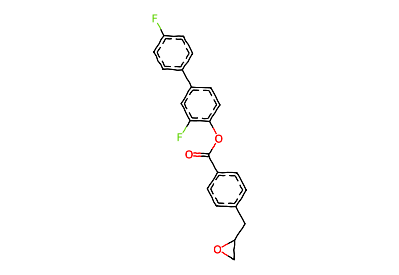 O=C(Oc1ccc(-c2ccc(F)cc2)cc1F)c1ccc(CC2CO2)cc1